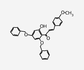 COc1ccc(/C=C/C(=O)c2c(O)cc(OCc3ccccc3)cc2OCc2ccccc2)cc1